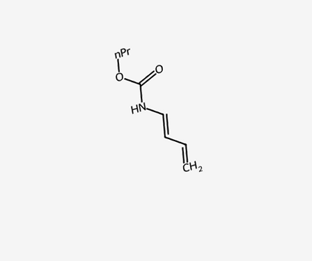 C=C/C=C/NC(=O)OCCC